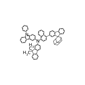 CC1(C)c2ccccc2-c2ccc(N(c3ccc4c(c3)c3ccccc3n4-c3ccccc3)c3ccc(-c4ccc5c(c4)C4(c6ccccc6-5)C5CC6CC(C5)CC4C6)c4ccccc34)cc21